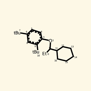 CC[C](Oc1ccc(C(C)(C)C)cc1C(C)(C)C)C1CCCCC1